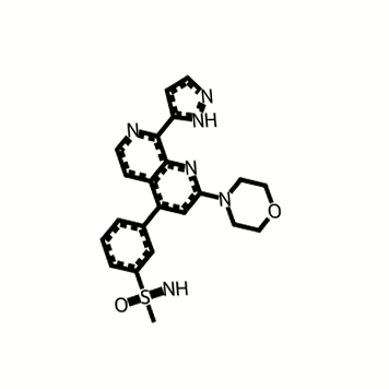 CS(=N)(=O)c1cccc(-c2cc(N3CCOCC3)nc3c(-c4ccn[nH]4)nccc23)c1